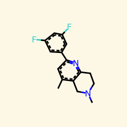 Cc1cc(-c2cc(F)cc(F)c2)nc2c1CN(C)CC2